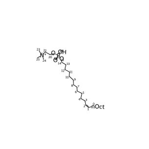 CCCCCCCC/C=C\CCCCCCCCCCCCOP(=O)(O)OCC[N+](C)(C)C